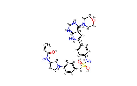 C=CC(=O)N[C@@H]1CCN(c2ccc(CS(=O)(=O)Nc3ccc(-c4cc5c(N6CCOCC6)ncnc5[nH]4)cc3)cc2)C1